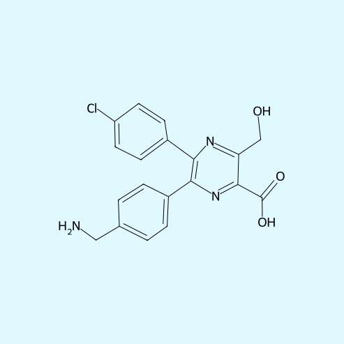 NCc1ccc(-c2nc(C(=O)O)c(CO)nc2-c2ccc(Cl)cc2)cc1